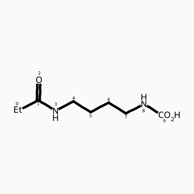 CCC(=O)NCCCCNC(=O)O